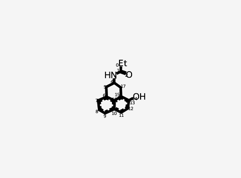 CCC(=O)NC1Cc2cccc3ccc(O)c(c23)C1